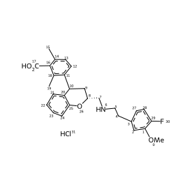 COc1cc(CCNC[C@H]2CC(c3ccc(C)c(C(=O)O)c3C)c3ccccc3O2)ccc1F.Cl